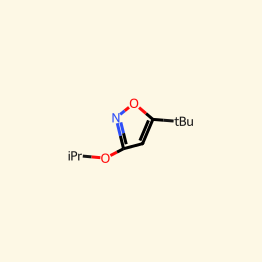 CC(C)Oc1cc(C(C)(C)C)on1